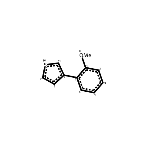 COc1ccccc1-c1c[c]sc1